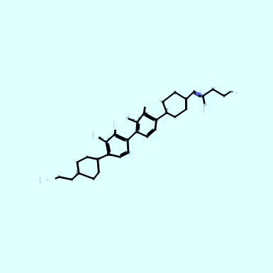 CCCC1CCC(c2ccc(-c3ccc(C4CCC(/C=C(\F)CCF)CC4)c(F)c3F)c(F)c2F)CC1